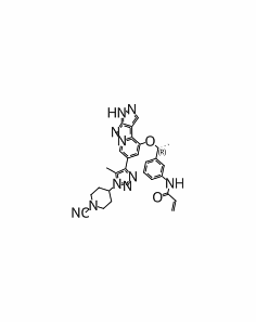 C=CC(=O)Nc1cccc([C@@H](C)Oc2cc(-c3nnn(C4CCN(C#N)CC4)c3C)cn3nc4[nH]ncc4c23)c1